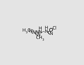 Cc1cc(N2CCN(C)CC2)nc(NCCCNc2ccnc3cc(Cl)ccc23)n1